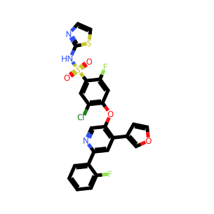 O=S(=O)(Nc1nccs1)c1cc(Cl)c(Oc2cnc(-c3ccccc3F)cc2-c2ccoc2)cc1F